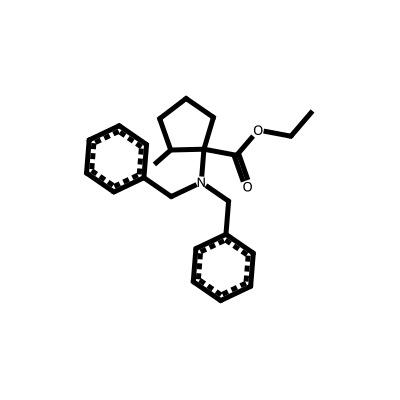 CCOC(=O)C1(N(Cc2ccccc2)Cc2ccccc2)CCCC1C